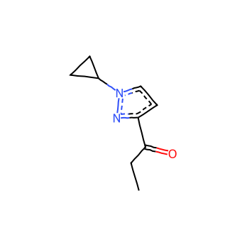 CCC(=O)c1ccn(C2CC2)n1